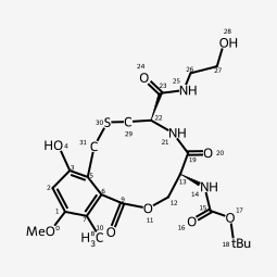 COc1cc(O)c2c(c1C)C(=O)OC[C@H](NC(=O)OC(C)(C)C)C(=O)N[C@H](C(=O)NCCO)CSC2